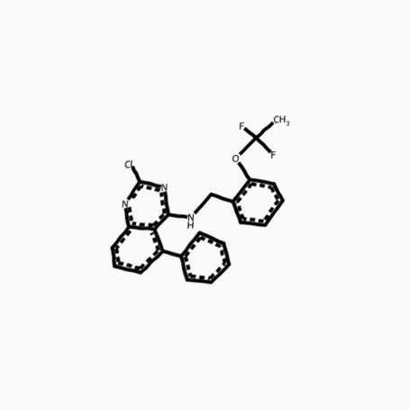 CC(F)(F)Oc1ccccc1CNc1nc(Cl)nc2cccc(-c3ccccc3)c12